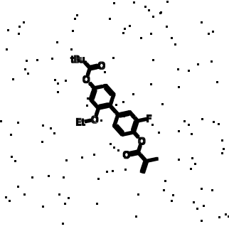 C=C(C)C(=O)Oc1ccc(-c2ccc(OC(=O)C(C)(C)C)cc2OCC)cc1F